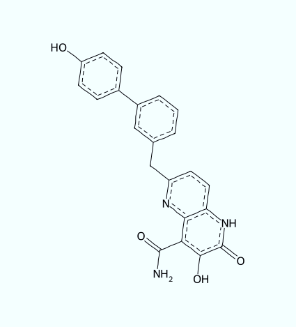 NC(=O)c1c(O)c(=O)[nH]c2ccc(Cc3cccc(-c4ccc(O)cc4)c3)nc12